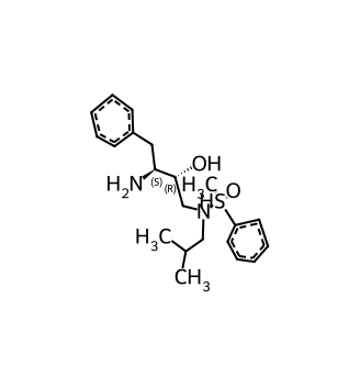 CC(C)CN(C[C@@H](O)[C@@H](N)Cc1ccccc1)[SH](C)(=O)c1ccccc1